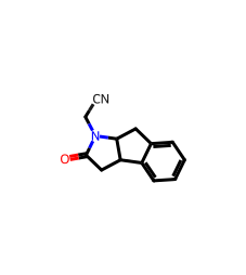 N#CCN1C(=O)CC2c3ccccc3CC21